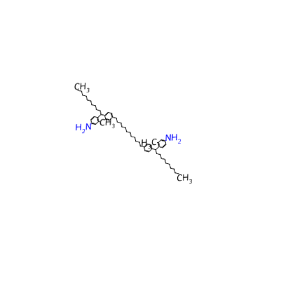 CCCCCCCCCCCC(c1ccc(CCCCCCCCCCCCc2ccc(C(CCCCCCCCCCC)c3ccc(N)cc3C)cc2)cc1)c1ccc(N)cc1C